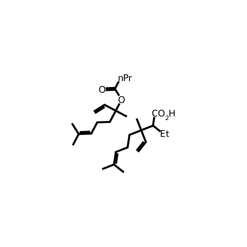 C=CC(C)(CCC=C(C)C)C(CC)C(=O)O.C=CC(C)(CCC=C(C)C)OC(=O)CCC